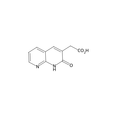 O=C(O)Cc1cc2cccnc2[nH]c1=O